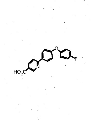 O=C(O)c1ccc(-c2ccc(Oc3ccc(F)cc3)cc2)nc1